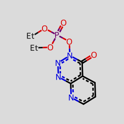 CCOP(=O)(OCC)On1nnc2ncccc2c1=O